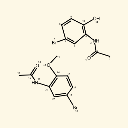 CC(=O)Nc1cc(Br)ccc1O.COc1ccc(Br)cc1NC(C)=O